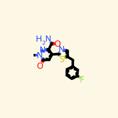 Cn1nc(C(N)=O)c(-c2ncc(Cc3cccc(F)c3)s2)cc1=O